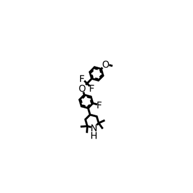 COc1ccc(C(F)(F)Oc2ccc(C3CC(C)(C)NC(C)(C)C3)c(F)c2)cc1